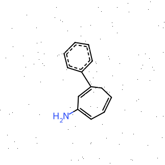 NC1=CC=CCC(c2ccccc2)=C1